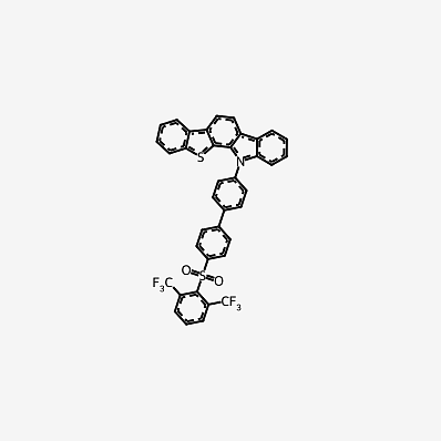 O=S(=O)(c1ccc(-c2ccc(-n3c4ccccc4c4ccc5c6ccccc6sc5c43)cc2)cc1)c1c(C(F)(F)F)cccc1C(F)(F)F